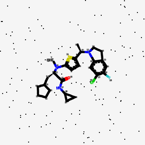 C[C@H](c1ccc(N(C=O)[C@@H](CC2CCCC2)C(=O)NC2CC2)s1)N1CCc2cc(F)c(Cl)cc21